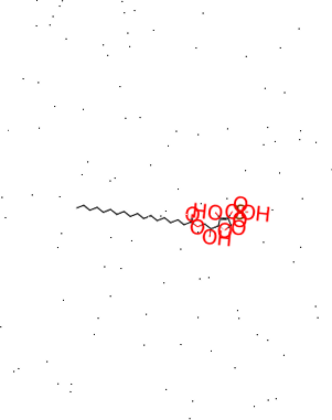 CCCCCCCCCCCCCCCCCC(=O)OC[C@H](O)[C@H]1OC(=O)C(OS(=O)(=O)O)=C1O